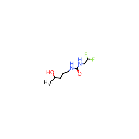 CC(O)CCCNC(=O)NCC(F)F